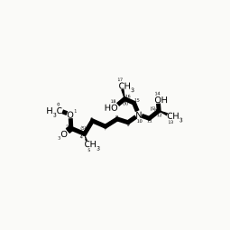 COC(=O)[C@@H](C)CCCCN(C[C@H](C)O)C[C@H](C)O